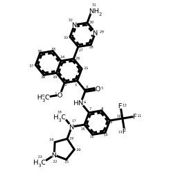 COc1c(C(=O)Nc2cc(C(F)(F)F)ccc2N(C)C2CCN(C)C2)cc(-c2cnc(N)nc2)c2ccccc12